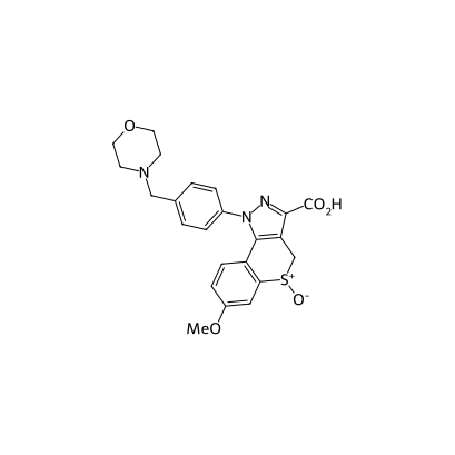 COc1ccc2c(c1)[S+]([O-])Cc1c(C(=O)O)nn(-c3ccc(CN4CCOCC4)cc3)c1-2